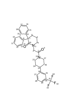 O=C(CN1CCCC(c2ccccc2)(c2ccccc2)C1=O)N1CCC(c2cccc(C(F)(F)F)c2)CC1